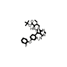 CC[C@@H](Cn1nc(-c2ccc(Oc3ccccc3F)cc2)c2c(N)ncnc21)C(=N)C(=O)OC(C)(C)C